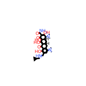 CN(C)c1cc(CNCC2CC2)c(O)c2c1C[C@H]1C[C@H]3[C@H](N(C)C)C(O)=C(C(N)=O)C(=O)[C@@]3(O)C(O)=C1C2=O